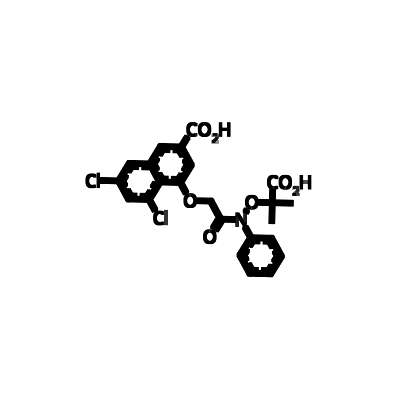 CC(C)(ON(C(=O)COc1cc(C(=O)O)cc2cc(Cl)cc(Cl)c12)c1ccccc1)C(=O)O